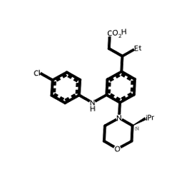 CCC(CC(=O)O)c1ccc(N2CCOC[C@@H]2C(C)C)c(Nc2ccc(Cl)cc2)c1